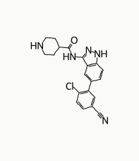 N#Cc1ccc(Cl)c(-c2ccc3[nH]nc(NC(=O)C4CCNCC4)c3c2)c1